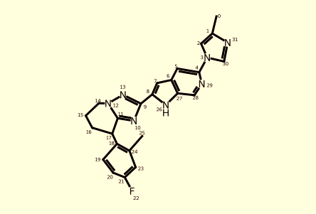 Cc1cn(-c2cc3cc(-c4nc5n(n4)CCCC5c4ccc(F)cc4C)[nH]c3cn2)cn1